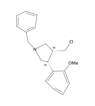 COc1ccccc1[C@@H]1CN(Cc2ccccc2)C[C@@H]1CCl